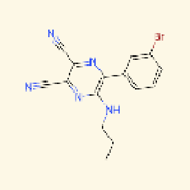 CCCNc1nc(C#N)c(C#N)nc1-c1cccc(Br)c1